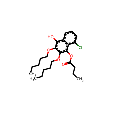 CCCCCOc1c(OCCCCC)c(OC(=O)CCC)c2c(Cl)cccc2c1O